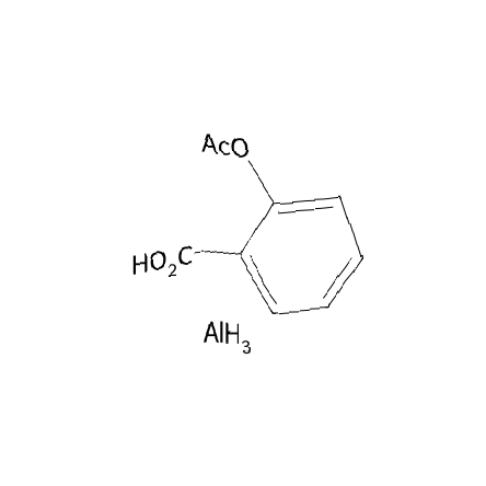 CC(=O)Oc1ccccc1C(=O)O.[AlH3]